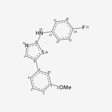 COc1cccc(-c2cnc(Nc3ccc(F)cc3)s2)c1